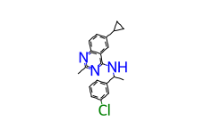 Cc1nc(NC(C)c2cccc(Cl)c2)c2cc(C3CC3)ccc2n1